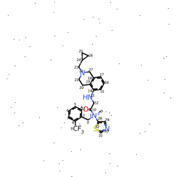 C[N+](Cc1ccccc1C(F)(F)F)(C(=O)CNc1cccc2c1CCN(CC1CC1)C2)c1cncs1